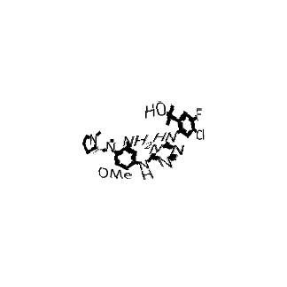 COc1cc(N(C)C[C@@H]2CCCN2C)c(N)cc1Nc1ncnc(Nc2cc(Cl)c(F)cc2C(C)(C)O)n1